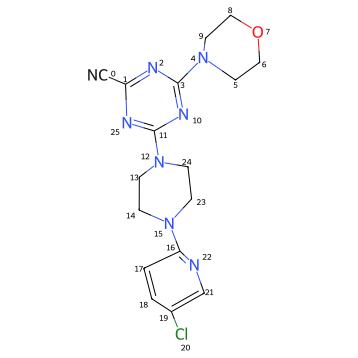 N#Cc1nc(N2CCOCC2)nc(N2CCN(c3ccc(Cl)cn3)CC2)n1